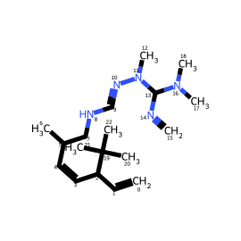 C=CC(/C=C\C(C)CN/C=N/N(C)C(N=C)N(C)C)C(C)(C)C